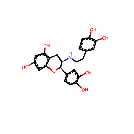 Oc1cc(O)c2c(c1)O[C@H](c1ccc(O)c(O)c1)[C@H](NCCc1ccc(O)c(O)c1)C2